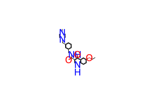 CCOc1ccc2[nH]cc(C(=O)NCc3cccc(CN4CCN(C)CC4)c3)c(=O)c2c1